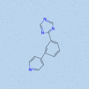 c1cc(-c2ccncc2)cc(-c2ncncn2)c1